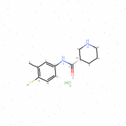 Cc1cc(NC(=O)[C@H]2CCCNC2)ccc1F.Cl